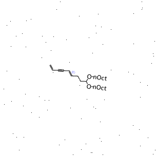 C=CC#C/C=C/CCC(OCCCCCCCC)OCCCCCCCC